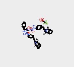 O=C(NCC(CO)(CC1CCCCC1)NC(=O)NC1CCC(CCN2[C@@H]3CC[C@H]2c2ccccc23)CC1)NC1CCC(CCN2[C@@H]3CC[C@H]2c2ccccc23)CC1.O=C(O)C(F)(F)F